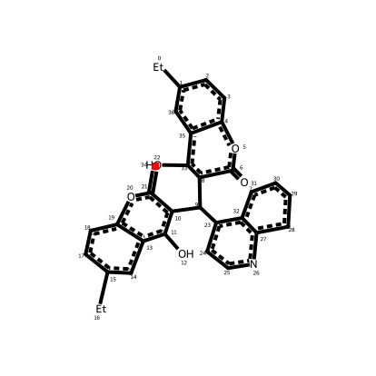 CCc1ccc2oc(=O)c(C(c3c(O)c4cc(CC)ccc4oc3=O)c3ccnc4ccccc34)c(O)c2c1